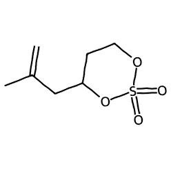 C=C(C)CC1CCOS(=O)(=O)O1